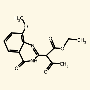 CCOC(=O)C(C(C)=O)c1nc2c(OC)cccc2c(=O)[nH]1